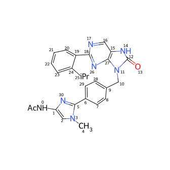 CC(=O)Nc1cn(C)c(-c2ccc(Cn3c(=O)[nH]c4cnc(-c5ccccc5C(C)C)nc43)cc2)n1